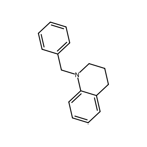 [c]1ccc2c(c1)CCCN2Cc1ccccc1